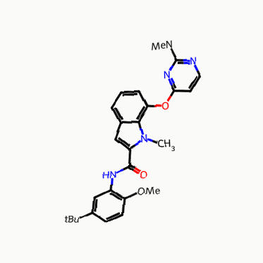 CNc1nccc(Oc2cccc3cc(C(=O)Nc4cc(C(C)(C)C)ccc4OC)n(C)c23)n1